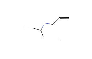 C.C=CCNC(C)C(=O)O